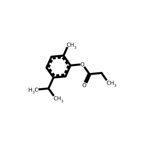 C[CH]C(=O)Oc1cc(C(C)C)ccc1C